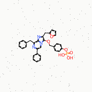 O=P(O)(O)Oc1ccc(COc2c(Cc3ccco3)nc3c(Cc4ccccc4)nc(-c4ccccc4)cn23)cc1